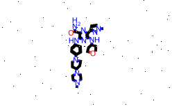 CN1CCN(C2CCN(c3ccc(Nc4nc(NC5CCOCC5)c(-c5ccn(C)n5)nc4C(N)=O)cc3)CC2)CC1